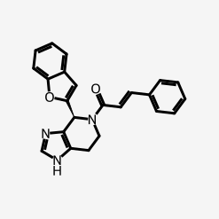 O=C(/C=C/c1ccccc1)N1CCc2[nH]cnc2[C@H]1c1cc2ccccc2o1